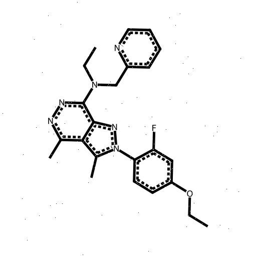 CCOc1ccc(-n2nc3c(N(CC)Cc4ccccn4)nnc(C)c3c2C)c(F)c1